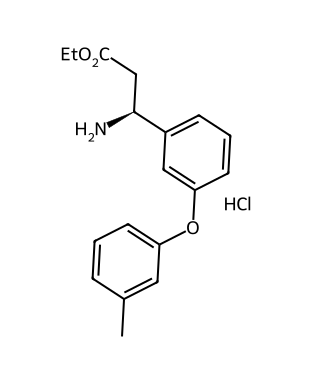 CCOC(=O)C[C@H](N)c1cccc(Oc2cccc(C)c2)c1.Cl